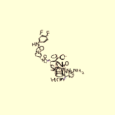 Nc1nc(/C(=N/O)C(=O)N[C@@H]2C(=O)N3C(C(=O)[O-])=C(/C=C4\CCN(Cc5cc[n+](CC(=O)Nc6ccc(F)c(F)c6)cc5)C4=O)CS[C@H]23)cs1